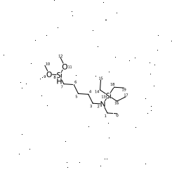 CCN(CCCCC[SiH](OC)OC)[Si](CC)(CC)CC